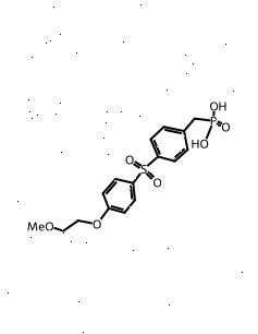 COCCOc1ccc(S(=O)(=O)c2ccc(CP(=O)(O)O)cc2)cc1